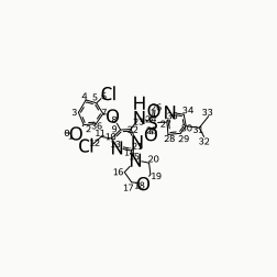 COc1ccc(Cl)c(Oc2c(CCl)nc(N3CCOCC3)nc2NS(=O)(=O)c2ccc(C(C)C)cn2)c1